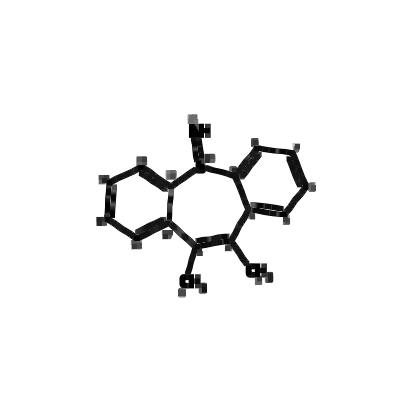 CC1=C(C)c2ccccc2S(=N)c2ccccc21